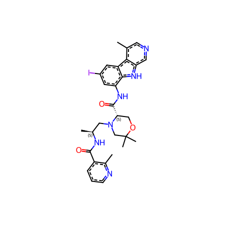 Cc1ncccc1C(=O)N[C@@H](C)CN1CC(C)(C)OC[C@H]1C(=O)Nc1cc(I)cc2c1[nH]c1cncc(C)c12